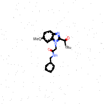 COc1ccc2nc(C(=O)C(C)(C)C)n(CC(=O)NCc3ccccc3)c2c1